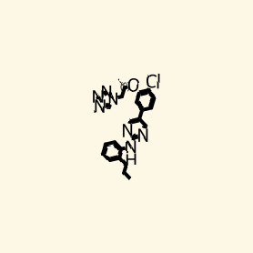 CCCc1ccccc1Nc1ncc(-c2ccc(Cl)c(O[C@@H](C)Cn3cnnn3)c2)cn1